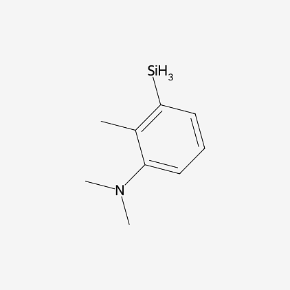 Cc1c([SiH3])cccc1N(C)C